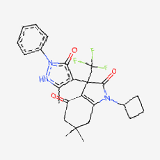 Cc1[nH]n(-c2ccccc2)c(=O)c1C1(C(F)(F)F)C(=O)N(C2CCC2)C2=C1C(=O)CC(C)(C)C2